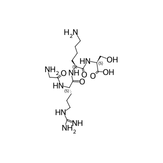 N=C(N)NCCC[C@H](NC(=O)CN)C(=O)N[C@@H](CCCCN)C(=O)N[C@@H](CO)C(=O)O